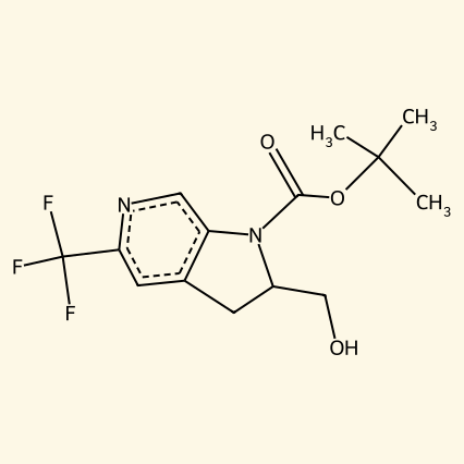 CC(C)(C)OC(=O)N1c2cnc(C(F)(F)F)cc2CC1CO